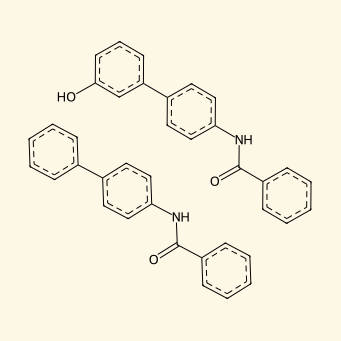 O=C(Nc1ccc(-c2cccc(O)c2)cc1)c1ccccc1.O=C(Nc1ccc(-c2ccccc2)cc1)c1ccccc1